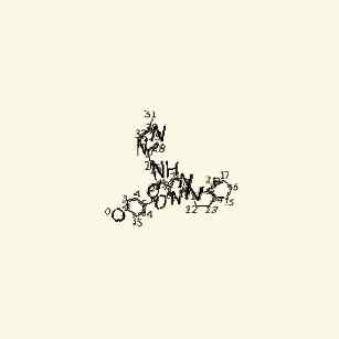 COc1ccc(COc2nc(N3CCc4ccccc43)ncc2C(=O)NCc2cnc(C)cn2)cc1